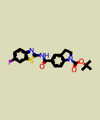 CC(C)(C)OC(=O)N1CCc2cc(C(=O)Nc3nc4ccc(I)cc4s3)ccc21